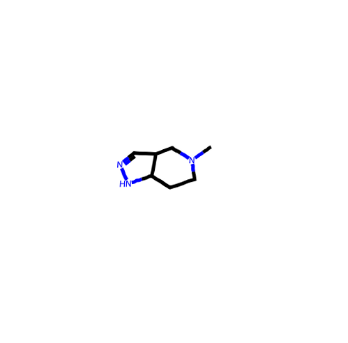 CN1CCC2NN=CC2C1